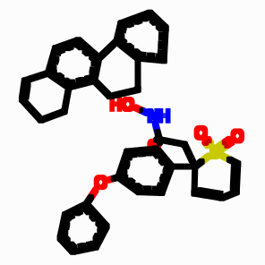 C1=Cc2ccc3c(c2CC1)CCc1ccccc1-3.O=C(CC1(c2ccc(Oc3ccccc3)cc2)C=CC=CS1(=O)=O)NO